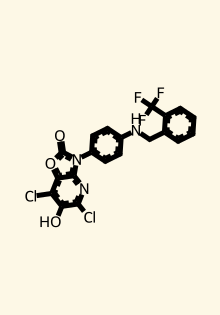 O=c1oc2c(Cl)c(O)c(Cl)nc2n1-c1ccc(NCc2ccccc2C(F)(F)F)cc1